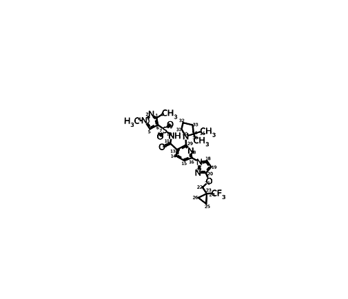 Cc1nn(C)cc1S(=O)(=O)NC(=O)c1ccc(-n2ccc(OCC3(C(F)(F)F)CC3)n2)nc1N1CCCC1(C)C